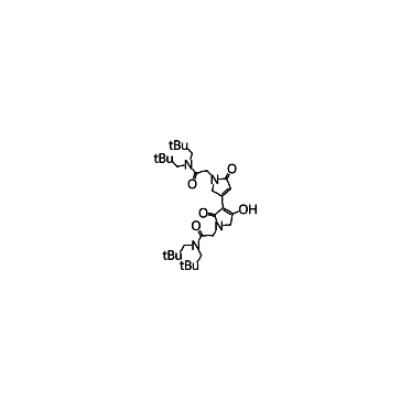 CC(C)(C)CN(CC(C)(C)C)C(=O)CN1CC(C2=C(O)CN(CC(=O)N(CC(C)(C)C)CC(C)(C)C)C2=O)=CC1=O